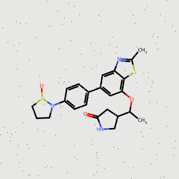 Cc1nc2cc(-c3ccc(N4CCC[S+]4[O-])cc3)cc(OC(C)C3CNC(=O)C3)c2s1